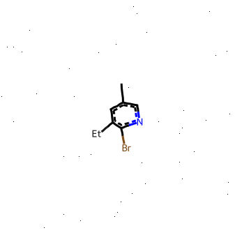 CCc1cc(C)cnc1Br